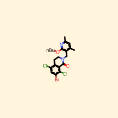 CCCCOc1nc(C)cc(C)c1CN1CCc2c(Cl)cc(Br)c(Cl)c2C1=O